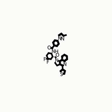 Cc1ccn(-c2ccc(C(=O)N[C@@H]3CCC(F)(F)C[C@H]3C(=O)N3CCc4c(-c5ccsc5)nc5ccccc5c43)cc2)n1